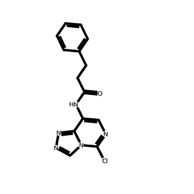 O=C(CCc1ccccc1)Nc1cnc(Cl)n2cnnc12